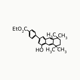 CCOC(=O)c1ccc(-c2cc(O)c3cc4c(cc3c2)C(C)(C)CCC4(C)C)cc1